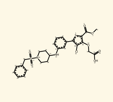 COC(=O)c1sc(-c2cccc(NC3CCN(S(=O)(=O)Cc4ccccc4)CC3)c2)c(Cl)c1OCC(=O)O